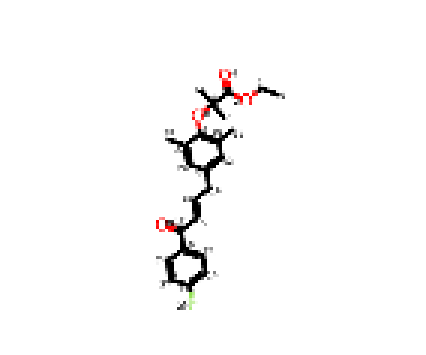 CCOC(=O)C(C)(C)Oc1c(C)cc(C/C=C/C(=O)c2ccc(F)cc2)cc1C